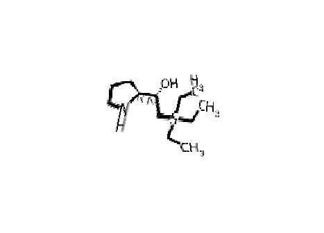 CCS(CC)(CC)C[C@@H](O)[C@@H]1CCCN1